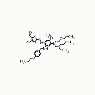 CCCCc1ccc(CNc2cc(N(CCOCCC)CC(CC)CCCC)c(OC)cc2/N=N/c2nc(Cl)c(C=O)s2)cc1